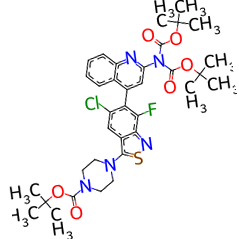 CC(C)(C)OC(=O)N1CCN(c2snc3c(F)c(-c4cc(N(C(=O)OC(C)(C)C)C(=O)OC(C)(C)C)nc5ccccc45)c(Cl)cc23)CC1